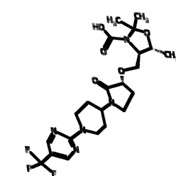 C[C@H]1OC(C)(C)N(C(=O)O)[C@@H]1CO[C@@H]1CCN(C2CCN(c3ncc(C(F)(F)F)cn3)CC2)C1=O